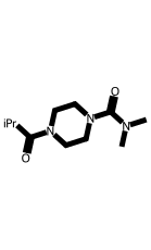 CC(C)C(=O)N1CCN(C(=O)N(C)C)CC1